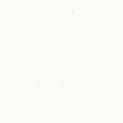 COc1ccc([N+](=O)[O-])cc1OCCN1C(C)(C)CCCC1(C)C